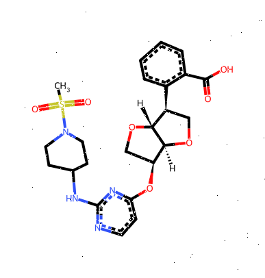 CS(=O)(=O)N1CCC(Nc2nccc(O[C@H]3CO[C@H]4[C@H]3OC[C@@H]4c3ccccc3C(=O)O)n2)CC1